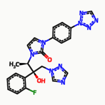 C[C@@H](n1ccn(-c2ccc(-n3ncnn3)cc2)c1=O)[C@](O)(Cn1cncn1)c1ccccc1F